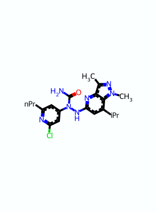 CCCc1cc(N(Nc2cc(C(C)C)c3c(n2)c(C)nn3C)C(N)=O)cc(Cl)n1